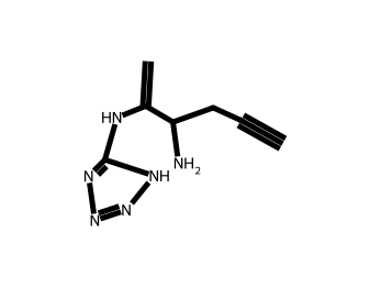 C#CCC(N)C(=C)Nc1nnn[nH]1